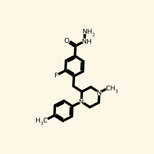 Cc1ccc(N2CCN(C)CC2Cc2ccc(C(=O)NN)cc2F)cc1